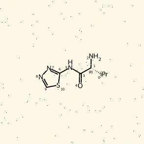 CC(C)[C@@H](N)C(=O)Nc1nncs1